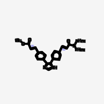 CCCCCCN(CCCCCC)C(=O)/C=C/c1ccc(-c2[nH]cnc2-c2ccc(/C=C/C(=O)OC(C)(C)C)cc2)cc1